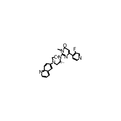 C[C@@H]1CN(c2ccc3ncccc3c2)CCN1c1nc(-c2ccncc2F)cc(=O)n1C